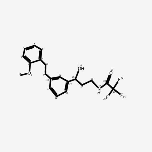 COc1ccccc1CCc1cccc(C(O)CCNC(=O)C(F)(F)F)c1